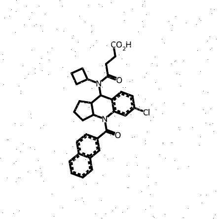 O=C(O)CCC(=O)N(C1CCC1)C1c2ccc(Cl)cc2N(C(=O)c2ccc3ccccc3c2)C2CCCC21